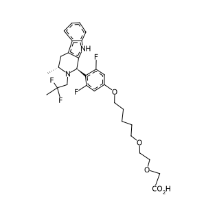 C[C@@H]1Cc2c([nH]c3ccccc23)[C@@H](c2c(F)cc(OCCCCCOCCOCC(=O)O)cc2F)N1CC(C)(F)F